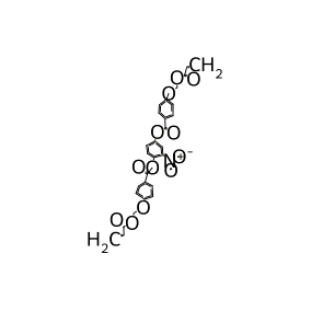 C=CC(=O)OCOc1ccc(C(=O)Oc2ccc(OC(=O)c3ccc(OCOC(=O)C=C)cc3)c([N+](=O)[O-])c2)cc1